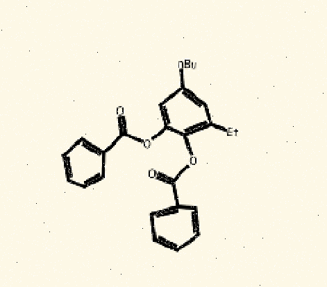 CCCCc1cc(CC)c(OC(=O)c2ccccc2)c(OC(=O)c2ccccc2)c1